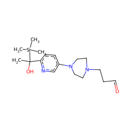 [CH2]C(O)(c1ccc(N2CCN(CCC=O)CC2)cn1)[Si](C)(C)C